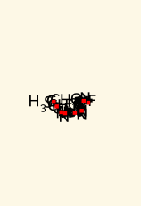 C[Si](C)(C)CCOCn1cnc(-c2ccc(-c3cnn4ccc(N5C(=O)OC[C@@H]5c5ccc(F)cn5)nc34)cc2F)n1